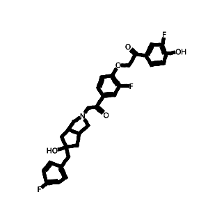 O=C(COc1ccc(C(=O)CN2CC3CC(O)(Cc4ccc(F)cc4)CC3C2)cc1F)c1ccc(O)c(F)c1